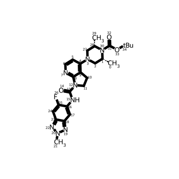 C[C@@H]1CN(c2ccnc3c2CCN3C(=O)Nc2cc3nn(C)nc3cc2F)C[C@H](C)N1C(=O)OC(C)(C)C